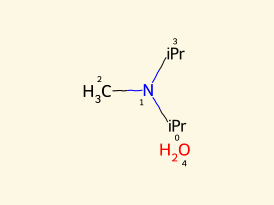 CC(C)N(C)C(C)C.O